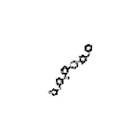 c1ccc(Cc2cnc(N3CCN(c4ncnc(Nc5cccc(O[C@H]6CCNC6)c5)n4)CC3)nc2)cc1